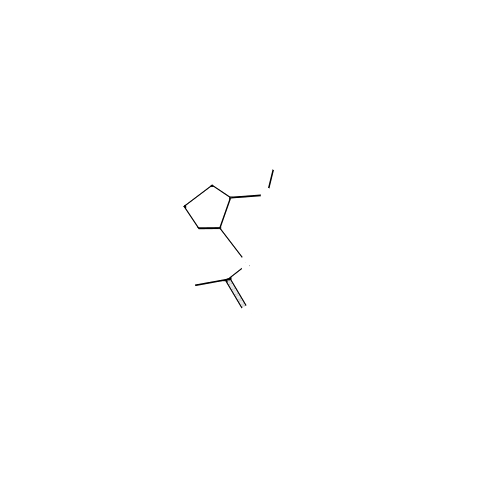 COC1CCCC1NC(=O)I